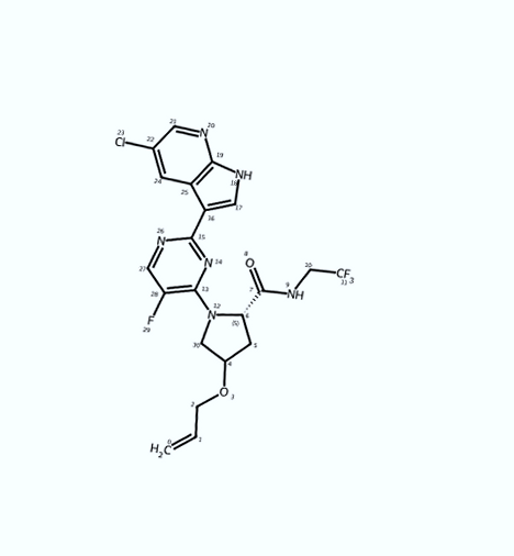 C=CCOC1C[C@@H](C(=O)NCC(F)(F)F)N(c2nc(-c3c[nH]c4ncc(Cl)cc34)ncc2F)C1